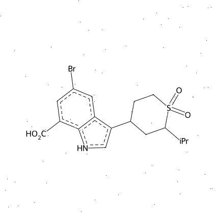 CC(C)C1CC(c2c[nH]c3c(C(=O)O)cc(Br)cc23)CCS1(=O)=O